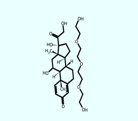 C[C@]12C=CC(=O)C=C1CC[C@@H]1[C@@H]2C(O)C[C@@]2(C)[C@H]1CC[C@]2(O)C(=O)CO.OCCOCCOCCOCCO